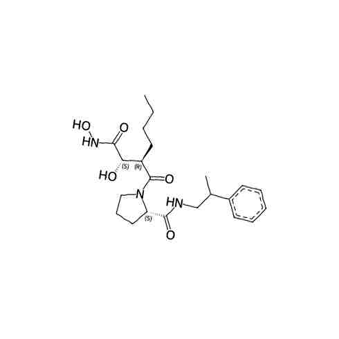 CCCC[C@@H](C(=O)N1CCC[C@H]1C(=O)NCC(C)c1ccccc1)[C@H](O)C(=O)NO